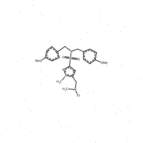 CCN(C)Cc1cc(S(=O)(=O)N(Cc2ccc(OC)cc2)Cc2ccc(OC)cc2)nn1C